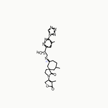 CC1=C(N2CCC3(C/C(=N/C[C@@H](O)c4cc(C)c(-n5cnnn5)nn4)CCC(C)C3)C2=O)COC1=O